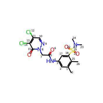 Cc1cc(NC(=O)Cn2ncc(Cl)c(Cl)c2=O)cc(S(=O)(=O)N(C)C)c1C